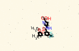 COc1cc(C)ccc1Oc1ccc(C(F)(F)F)cc1C(=O)Nc1ccc(C(=O)O)nc1